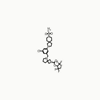 CS(=O)(=O)N1CCC2(CCN(c3cc(Cl)cc(CN4CCCC45CN(C(=O)OC(C(F)(F)F)C(F)(F)F)C5)c3)C2)CC1